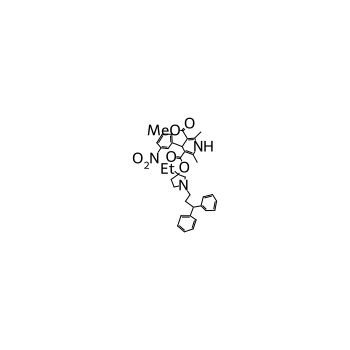 CCC1(OC(=O)C2=C(C)NC(C)=C(C(=O)OC)C2c2cccc([N+](=O)[O-])c2)CCN(CCC(c2ccccc2)c2ccccc2)C1